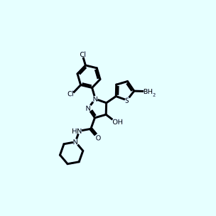 Bc1ccc(C2C(O)C(C(=O)NN3CCCCC3)=NN2c2ccc(Cl)cc2Cl)s1